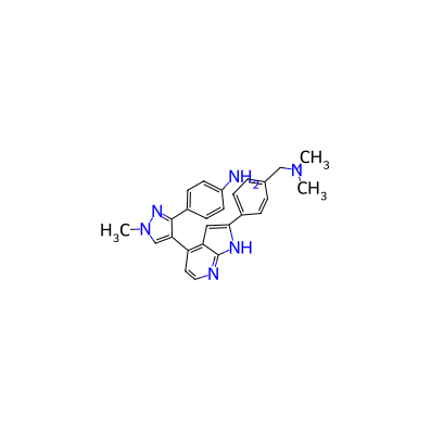 CN(C)Cc1ccc(-c2cc3c(-c4cn(C)nc4-c4ccc(N)cc4)ccnc3[nH]2)cc1